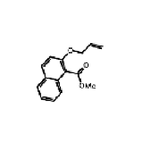 C=CCOc1ccc2ccccc2c1C(=O)OC